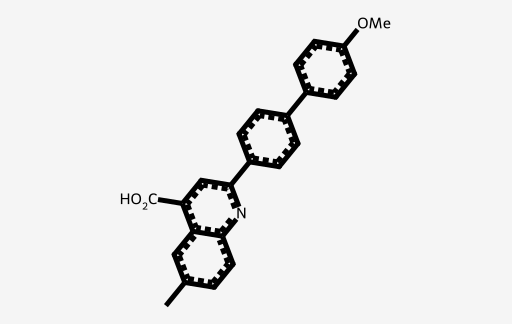 COc1ccc(-c2ccc(-c3cc(C(=O)O)c4cc(C)ccc4n3)cc2)cc1